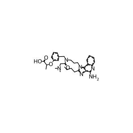 CCCCc1nc2c(N)nc3ccccc3c2n1CCCN(Cc1cccc(OC(C)C(=O)O)c1)C(=O)CN(C)C